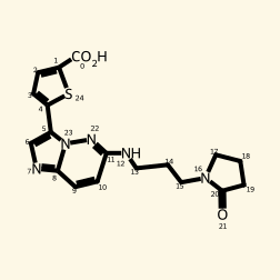 O=C(O)c1ccc(-c2cnc3ccc(NCCCN4CCCC4=O)nn23)s1